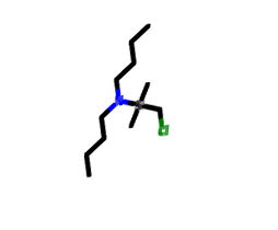 CCCCN(CCCC)[Si](C)(C)CCl